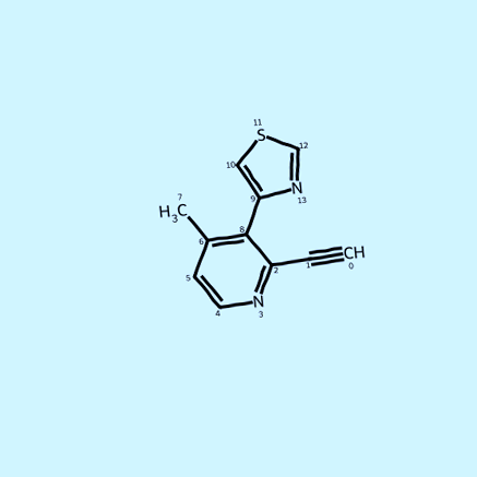 C#Cc1nccc(C)c1-c1cscn1